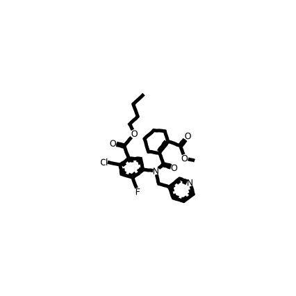 CCCCOC(=O)c1cc(N(Cc2cccnc2)C(=O)C2=C(C(=O)OC)CCCC2)c(F)cc1Cl